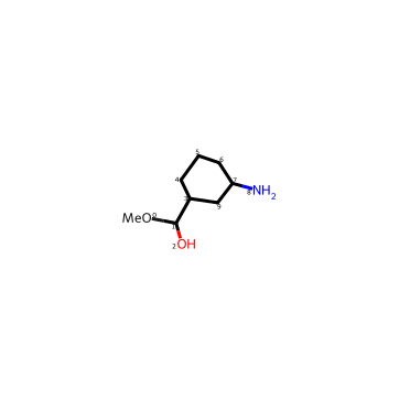 COC(O)C1CCCC(N)C1